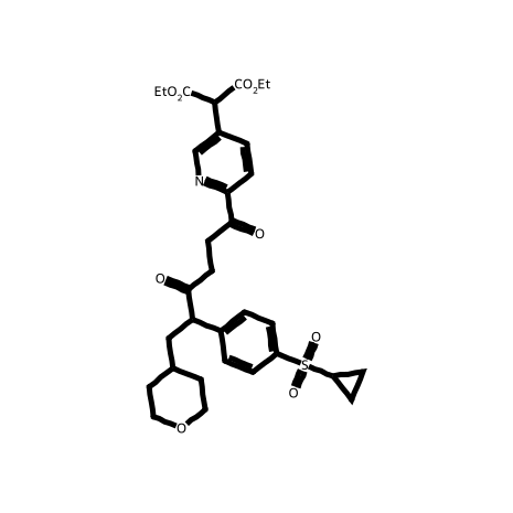 CCOC(=O)C(C(=O)OCC)c1ccc(C(=O)CCC(=O)C(CC2CCOCC2)c2ccc(S(=O)(=O)C3CC3)cc2)nc1